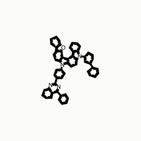 c1ccc(-c2cccc(-n3c4ccccc4c4c5c6c7oc8ccccc8c7ccc6n(-c6ccc(-c7nc(-c8ccccc8)c8ccccc8n7)cc6)c5ccc43)c2)cc1